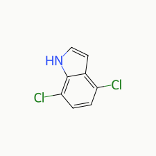 Clc1ccc(Cl)c2[nH]ccc12